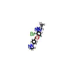 Brc1c(OCc2ccc(-n3cccn3)cc2)ccc2c1nnn2CC1CC1